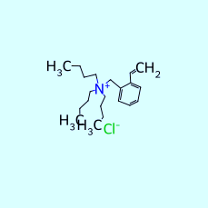 C=Cc1ccccc1C[N+](CCCC)(CCCC)CCCC.[Cl-]